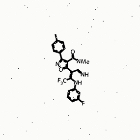 CNC(=O)c1c(-c2ccc(C)cc2)noc1/C(C=N)=C(/Nc1cccc(F)c1)C(F)(F)F